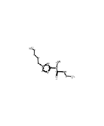 N#CCCCCn1cnc(N(S)C(=O)NCC(F)(F)F)n1